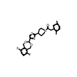 Cc1ccc(C)c(CC(=O)N2CCC(c3nc(C4OCc5c(F)ccc(F)c5CO4)cs3)CC2)c1